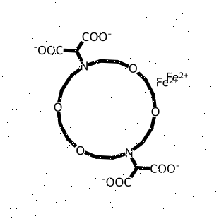 O=C([O-])C(C(=O)[O-])N1CCOCCOCCN(C(C(=O)[O-])C(=O)[O-])CCOCCOCC1.[Fe+2].[Fe+2]